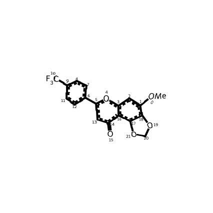 COc1cc2oc(-c3ccc(C(F)(F)F)cc3)cc(=O)c2c2c1OCO2